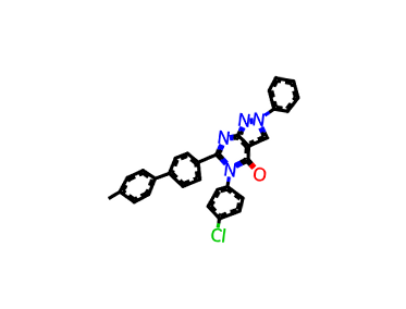 Cc1ccc(-c2ccc(-c3nc4nn(-c5ccccc5)cc4c(=O)n3-c3ccc(Cl)cc3)cc2)cc1